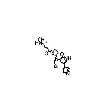 CNC/C=C/C(=O)N1CCC[C@@H](N(CC2CC2)c2cc(-c3ccncc3)c[nH]c2=O)C1